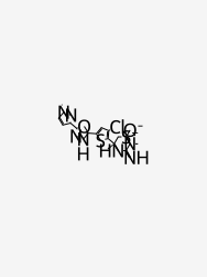 CN1C(=N)N[C@](C)(c2sc(C3NN=C(c4ccn(C)n4)O3)cc2Cl)C[S+]1[O-]